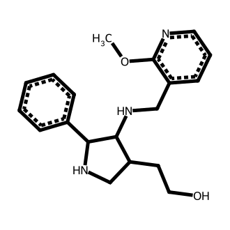 COc1ncccc1CNC1C(CCO)CNC1c1ccccc1